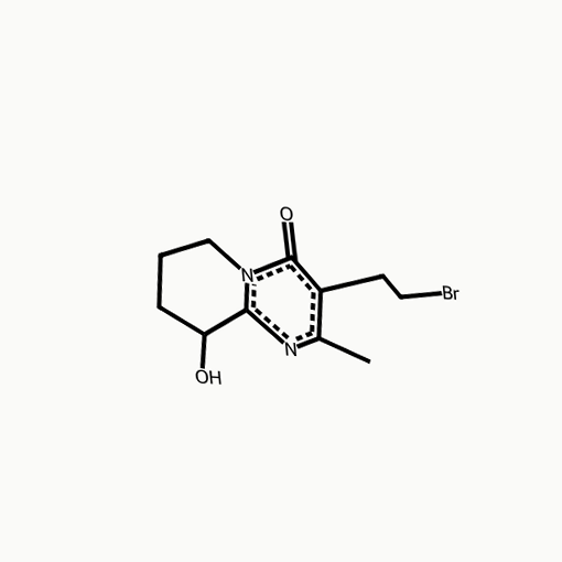 Cc1nc2n(c(=O)c1CCBr)CCCC2O